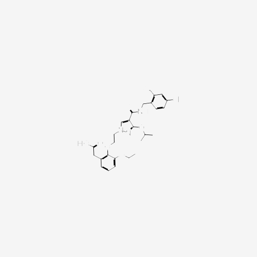 CCOc1cccc(CC(=O)O)c1OCCn1cc(C(=O)NCc2ccc(Cl)cc2Cl)c(OC(C)C)n1